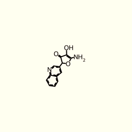 NC1=C(O)C(=O)C(c2cnc3ccccc3c2)O1